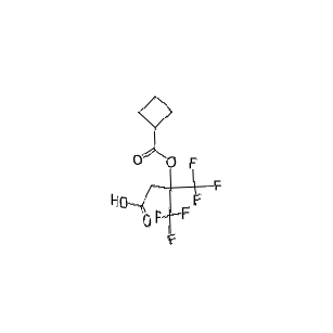 O=C(O)CC(OC(=O)C1CCC1)(C(F)(F)F)C(F)(F)F